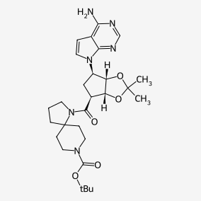 CC(C)(C)OC(=O)N1CCC2(CCCN2C(=O)[C@H]2C[C@@H](n3ccc4c(N)ncnc43)[C@@H]3OC(C)(C)O[C@@H]32)CC1